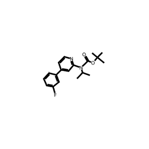 CC(C)N(C(=O)OC(C)(C)C)c1cc(-c2[c]ccc(F)c2)ccn1